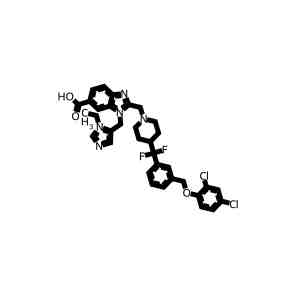 CCn1cncc1Cn1c(CN2CCC(C(F)(F)c3cccc(COc4ccc(Cl)cc4Cl)c3)CC2)nc2ccc(C(=O)O)cc21